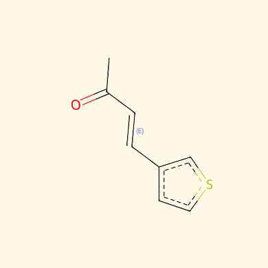 CC(=O)/C=C/c1ccsc1